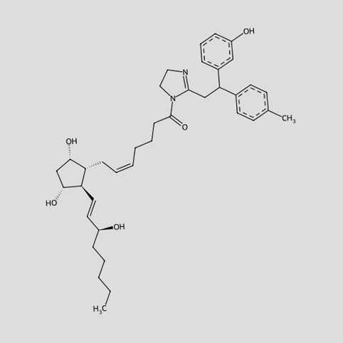 CCCCC[C@H](O)/C=C/[C@@H]1[C@@H](C/C=C\CCCC(=O)N2CCN=C2CC(c2ccc(C)cc2)c2cccc(O)c2)[C@@H](O)C[C@H]1O